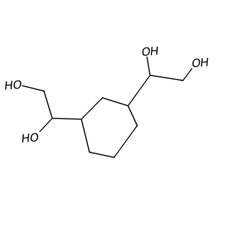 OCC(O)C1CCCC(C(O)CO)C1